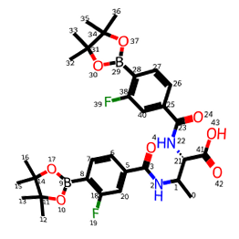 CC(NC(=O)c1ccc(B2OC(C)(C)C(C)(C)O2)c(F)c1)[C@H](NC(=O)c1ccc(B2OC(C)(C)C(C)(C)O2)c(F)c1)C(=O)O